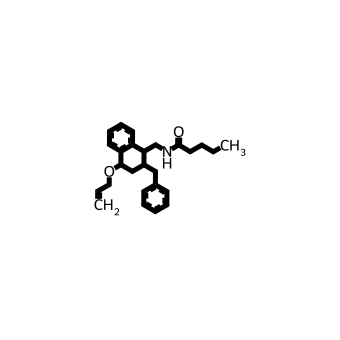 C=CCOC1CC(Cc2ccccc2)C(CNC(=O)CCCC)c2ccccc21